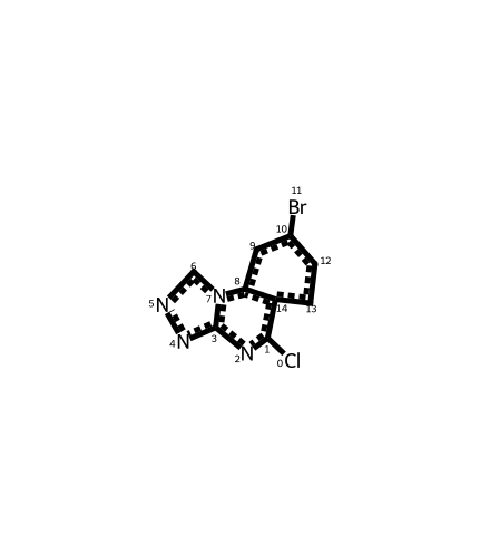 Clc1nc2nncn2c2cc(Br)ccc12